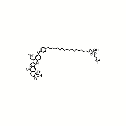 CC[C@@]1(O)C(=O)CCc2c1cc1n(c2=O)Cc2c-1nc1ccc(Oc3ccc(CCCCCCCCCCCCCCCCCCOP(=O)(O)OCC[N+](C)(C)C)cc3)cc1c2CN(C)C